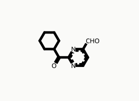 O=Cc1ccnc(C(=O)C2CCCCC2)n1